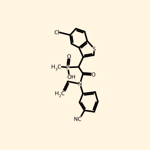 C=CN(C(=O)C(c1csc2ccc(Cl)cc12)P(C)(=O)O)c1cccc(C#N)c1